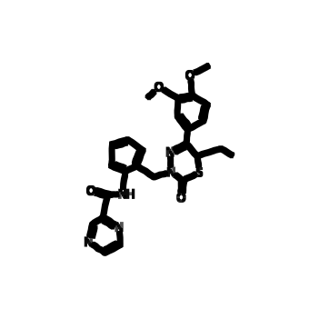 CCC1SC(=O)N(Cc2ccccc2NC(=O)c2cnccn2)N=C1c1ccc(OC)c(OC)c1